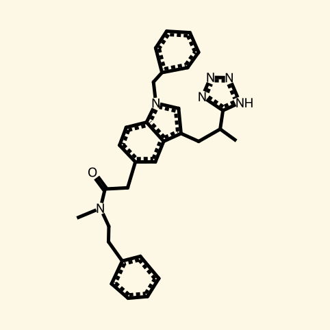 CC(Cc1cn(Cc2ccccc2)c2ccc(CC(=O)N(C)CCc3ccccc3)cc12)c1nnn[nH]1